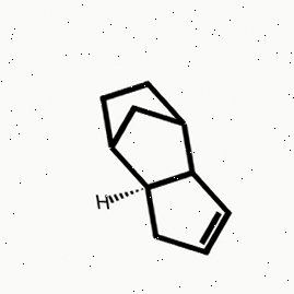 C1=CC2C3CCC(C3)[C@@H]2C1